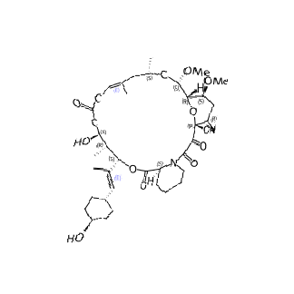 CO[C@H]1C[C@@H](C)C/C(C)=C/CC(=O)C[C@H](O)[C@@H](C)[C@@H](/C(C)=C/[C@H]2CC[C@H](O)CC2)OC(=O)[C@@H]2CCCCN2C(=O)C(=O)[C@]2(O)O[C@H]1[C@@H](OC)C[C@H]2C